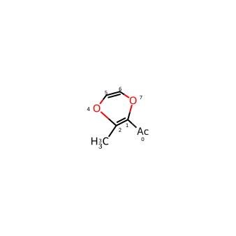 CC(=O)C1=C(C)OC=CO1